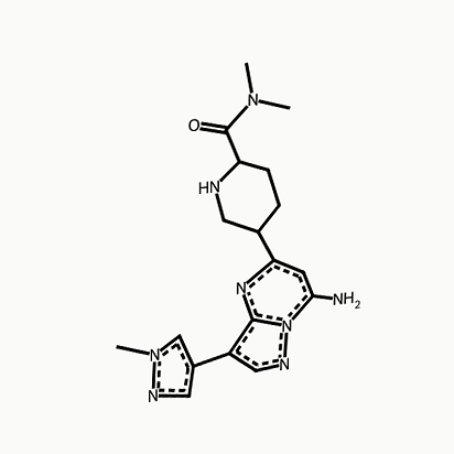 CN(C)C(=O)C1CCC(c2cc(N)n3ncc(-c4cnn(C)c4)c3n2)CN1